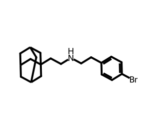 Brc1ccc(CCNCCC23CC4CC(CC(C4)C2)C3)cc1